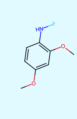 COc1ccc(NF)c(OC)c1